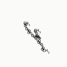 C=CC(=O)OCCCOc1ccc(OC(=O)C2CCC(COc3ccc(OCC4CCC(C(=O)Oc5ccc(OCCCOC(=O)C=C)cc5)CC4)c(/C=N/N(CCOCCOC)c4nc5ccccc5s4)c3)CC2)cc1